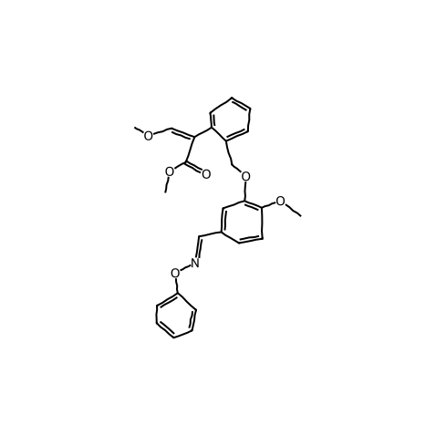 CO/C=C(\C(=O)OC)c1ccccc1COc1cc(/C=N/Oc2ccccc2)ccc1OC